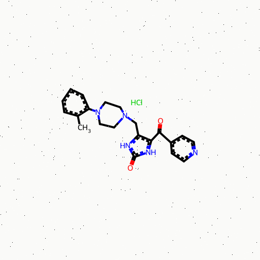 Cc1ccccc1N1CCN(Cc2[nH]c(=O)[nH]c2C(=O)c2ccncc2)CC1.Cl